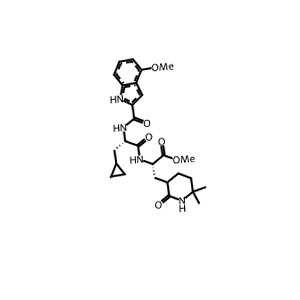 COC(=O)[C@H](CC1CCC(C)(C)NC1=O)NC(=O)[C@H](CC1CC1)NC(=O)c1cc2c(OC)cccc2[nH]1